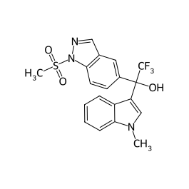 Cn1cc(C(O)(c2ccc3c(cnn3S(C)(=O)=O)c2)C(F)(F)F)c2ccccc21